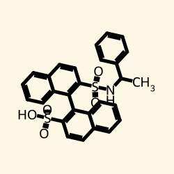 CC(NS(=O)(=O)c1ccc2ccccc2c1-c1c(S(=O)(=O)O)ccc2ccccc12)c1ccccc1